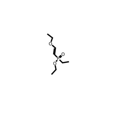 CCOC=CP(=O)(CC)OCC